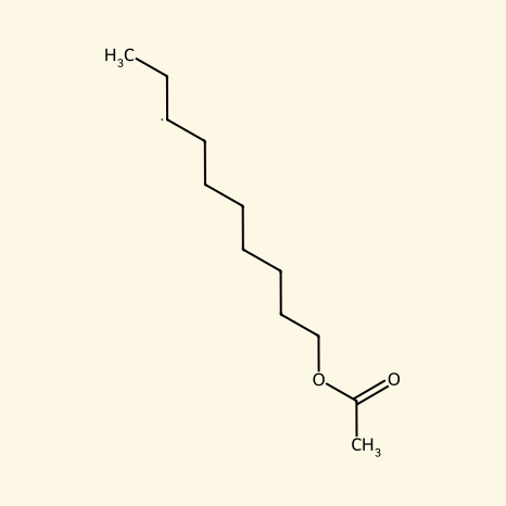 CC[CH]CCCCCCCOC(C)=O